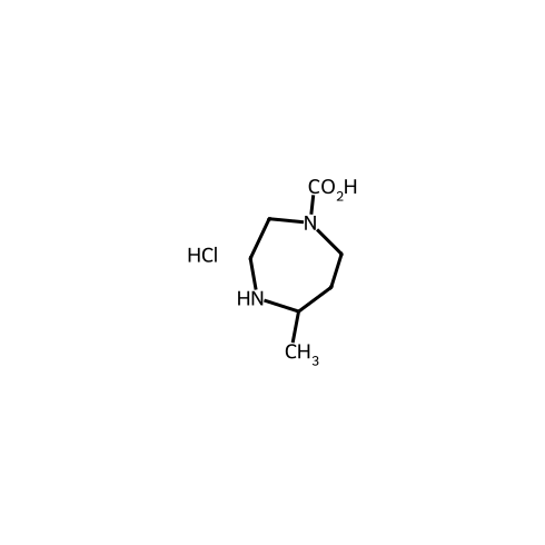 CC1CCN(C(=O)O)CCN1.Cl